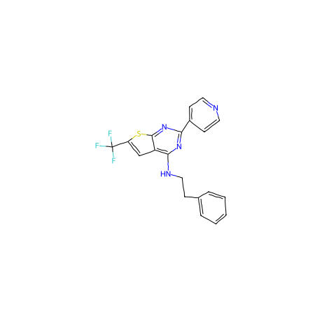 FC(F)(F)c1cc2c(NCCc3ccccc3)nc(-c3ccncc3)nc2s1